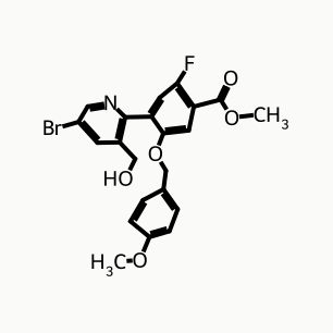 COC(=O)c1cc(OCc2ccc(OC)cc2)c(-c2ncc(Br)cc2CO)cc1F